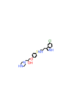 OC(COc1ccc(SNCCCc2c[nH]c3ccc(Cl)cc23)cc1)CN1CCNCC1